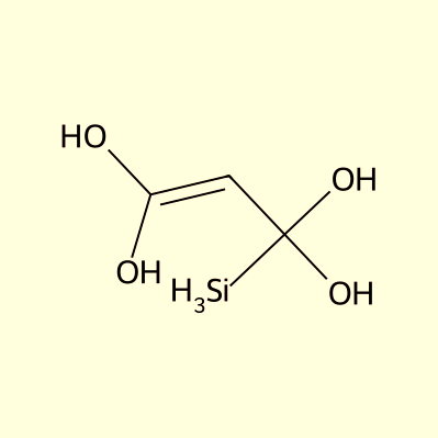 OC(O)=CC(O)(O)[SiH3]